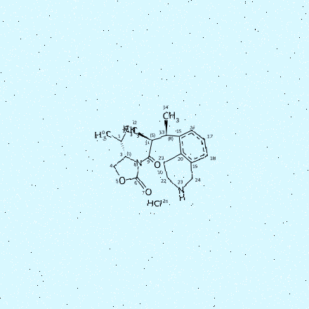 CC(C)[C@H]1COC(=O)N1C(=O)[C@@H](C)[C@@H](C)c1cccc2c1CCNC2.Cl